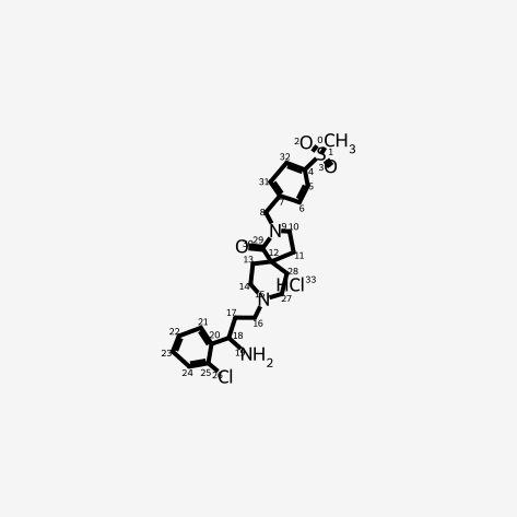 CS(=O)(=O)c1ccc(CN2CCC3(CCN(CCC(N)c4ccccc4Cl)CC3)C2=O)cc1.Cl